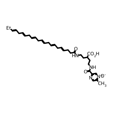 CCC=CCC=CCC=CCC=CCC=CCC=CCCC(=O)NCCC(CCNC(=O)c1c[n+]([O-])c(C)cn1)C(=O)O